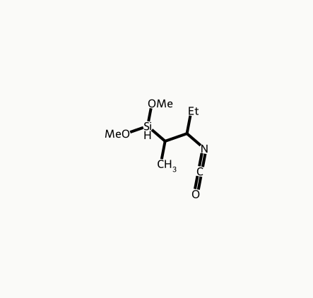 CCC(N=C=O)C(C)[SiH](OC)OC